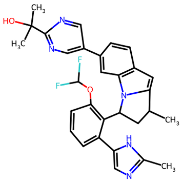 Cc1ncc(-c2cccc(OC(F)F)c2C2CC(C)c3cc4ccc(-c5cnc(C(C)(C)O)nc5)cc4n32)[nH]1